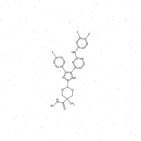 CC(C)NC(=O)C1(C)COC(c2nc(-c3ccc(F)cc3)c(-c3ccnc(Nc4ccc(F)c(F)c4)n3)[nH]2)OC1